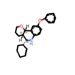 c1ccc(Oc2ccc3c(c2)[C@H]2OCCC[C@H]2[C@@H](C2CCCCC2)N3)cc1